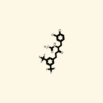 CC(=O)NC(Cc1ccc(Cl)c(Cl)c1)C(=O)CCc1cc(C(F)(F)F)cc(C(F)(F)F)c1